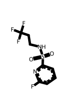 O=S(=O)(NCCC(F)(F)F)c1cccc(F)n1